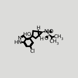 CC(C)S(=O)(=O)N[C@H]1[C@@H]2C[C@@](O)(c3cc(Cl)cc4[nH]ncc34)C[C@@H]21